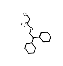 ClC[SiH2]OCC(C1CCCCC1)C1CCCCC1